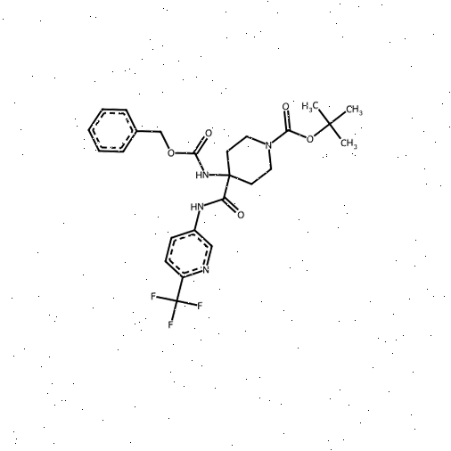 CC(C)(C)OC(=O)N1CCC(NC(=O)OCc2ccccc2)(C(=O)Nc2ccc(C(F)(F)F)nc2)CC1